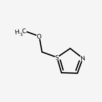 COCS1=CC=NC1